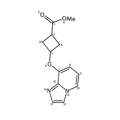 COC(=O)C1CC(Oc2cccn3ccnc23)C1